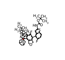 CCSc1nc(N2C3CC2CN(C(=O)OC(C)(C)C)C3)c2c3c(c(-c4c(F)ccc5sc(NC(=O)OC(C)(C)C)cc45)c(F)c2n1)COC3